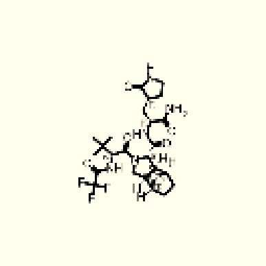 CC(C)(C)[C@H](NC(=O)C(F)(F)F)C(=O)N1C[C@H]2[C@@H]([C@H]1C(=O)N[C@@H](C[C@@H]1CCNC1=O)C(N)=O)[C@H]1CC[C@@H]2O1